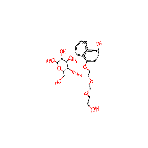 OCCOCCOCCOc1ccc(O)c2ccccc12.OC[C@H]1OC(O)[C@H](O)[C@@H](O)[C@H]1O